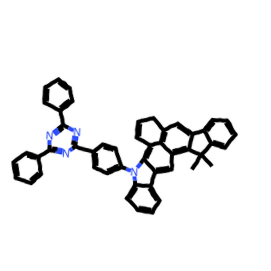 CC1(C)c2ccccc2-c2cc3c4c(c5c(cc4c21)c1ccccc1n5-c1ccc(-c2nc(-c4ccccc4)nc(-c4ccccc4)n2)cc1)C=CC3